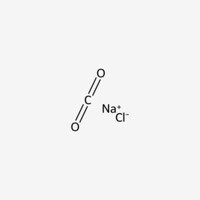 O=C=O.[Cl-].[Na+]